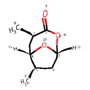 C[C@@H]1C[C@H]2OC(=O)[C@H](C)[C@@H]1O2